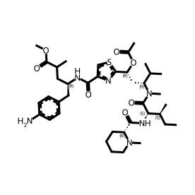 CC[C@H](C)[C@H](NC(=O)[C@H]1CCCCN1C)C(=O)N(C)[C@H](C[C@@H](OC(C)=O)c1nc(C(=O)N[C@@H](Cc2ccc(N)cc2)CC(C)C(=O)OC)cs1)C(C)C